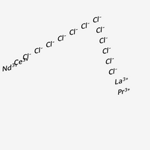 [Ce+3].[Cl-].[Cl-].[Cl-].[Cl-].[Cl-].[Cl-].[Cl-].[Cl-].[Cl-].[Cl-].[Cl-].[Cl-].[La+3].[Nd+3].[Pr+3]